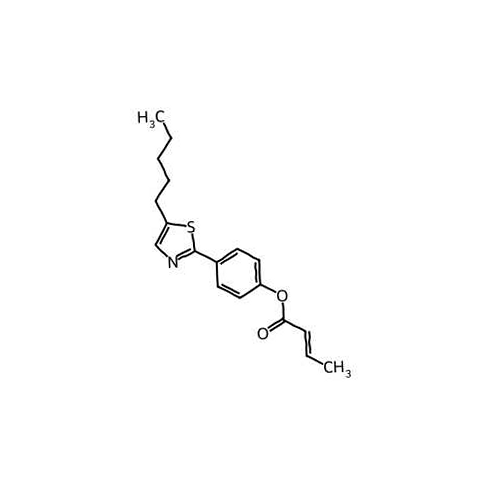 CC=CC(=O)Oc1ccc(-c2ncc(CCCCC)s2)cc1